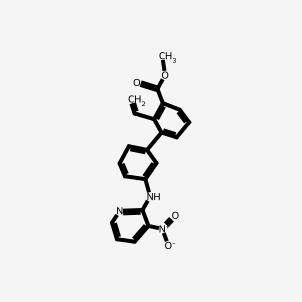 C=Cc1c(C(=O)OC)cccc1-c1cccc(Nc2ncccc2[N+](=O)[O-])c1